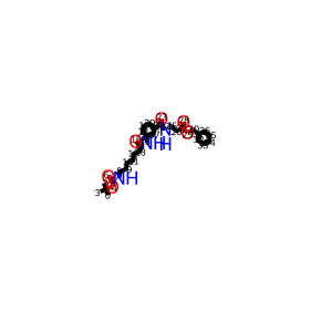 CC(C)(C)OC(=O)NCCCCCCC(=O)Nc1cccc(C(=O)NCCC(=O)OCc2ccccc2)c1